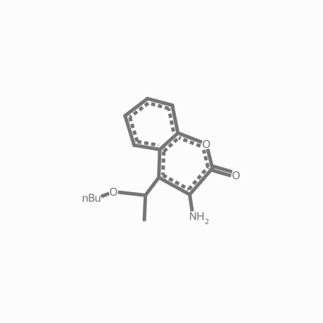 CCCCOC(C)c1c(N)c(=O)oc2ccccc12